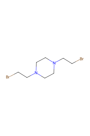 BrCCN1CCN(CCBr)CC1